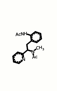 CC(=O)Nc1ccccc1CC(c1ccccn1)N(C)C(C)=O